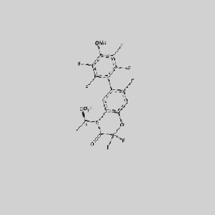 COc1c(F)c(F)c(-c2cc3c(cc2F)OC(F)(F)C(=O)N3[C@@H](C)C(=O)O)c(F)c1F